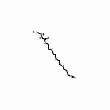 [N-]=[N+]=NCCOCCOCCOCCOC(=O)NNN